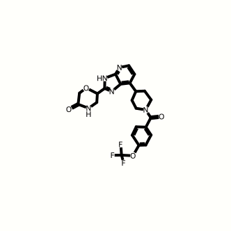 O=C1COC(c2nc3c(C4CCN(C(=O)c5ccc(OC(F)(F)F)cc5)CC4)ccnc3[nH]2)CN1